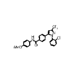 COc1ccc(NC(=O)c2ccc(-c3cc(C(F)(F)F)nn3-c3ccccc3Cl)cc2)cc1